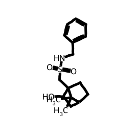 CC1(C)C2CCC1(CS(=O)(=O)NCc1ccccc1)C(O)C2